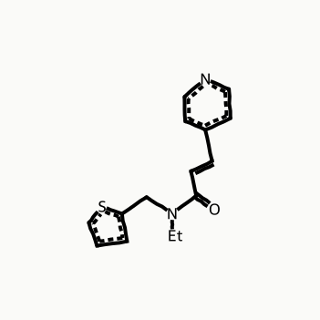 CCN(Cc1cccs1)C(=O)/C=C/c1ccncc1